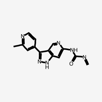 C=NC(=O)Nc1cc2[nH]nc(-c3ccnc(C)c3)c2cn1